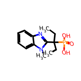 CCC(CC)(c1nc2ccccc2n1C)P(=O)(O)O